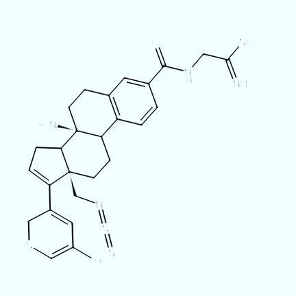 CCC1=CNCC(C2=CCC3[C@]2(CN=[N+]=[N-])CCC2c4ccc(C(=O)NCC(=N)N)cc4CC[C@]23N)=C1